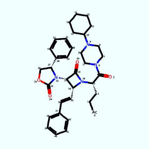 CC(=O)CC[C@@H](C(=O)N1CCN(C2CCCCC2)CC1)N1C(=O)[C@@H](N2C(=O)OC[C@@H]2c2ccccc2)[C@H]1/C=C/c1ccccc1